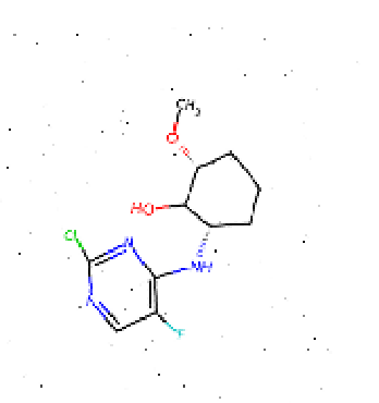 CO[C@@H]1CCC[C@H](Nc2nc(Cl)ncc2F)C1O